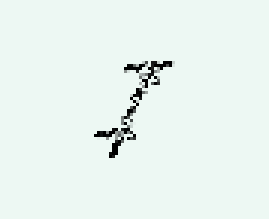 CCCCN(CCCC)C(=S)SSCCSCCSSC(=S)N(CCCC)CCCC